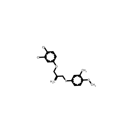 C=C(COc1ccc(Cl)c(Cl)c1)CSc1ccc(OC)c(C)c1